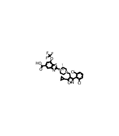 C[C@@H]1CN(Cc2c(-c3c(Cl)cccc3Cl)noc2C2CC2)CCN1c1nc2cc(C(=O)O)cc(OC(F)(F)F)c2s1